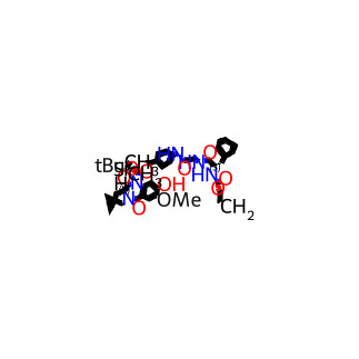 C=CCOC(=O)N[C@@H](Cc1ccccc1)C(=O)NCC(=O)Nc1ccc(COC(=O)N2c3cc(O)c(OC)cc3C(=O)N3CC4(CC4)C[C@H]3C2O[Si](C)(C)C(C)(C)C)cc1